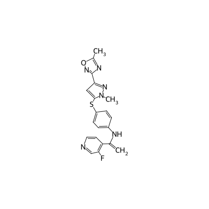 C=C(Nc1ccc(Sc2cc(-c3noc(C)n3)nn2C)cc1)c1ccncc1F